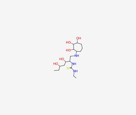 CCNC(=S)NC(CNC1CCCC(O)C(O)C1O)C(O)CC(O)CC